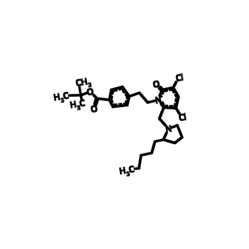 CCCCCC1CCCN1Cc1c(Cl)cc(Cl)c(=O)n1CCc1ccc(C(=O)OC(C)(C)C)cc1